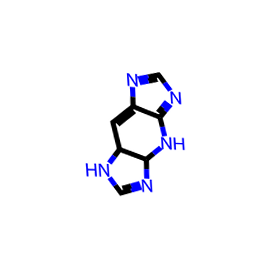 C1=NC2=CC3NC=NC3NC2=N1